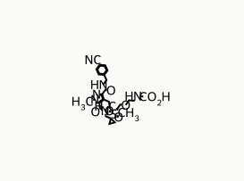 Cn1nc(C(=O)NCc2ccc(C#N)cc2)c2c1C(=O)N(CC1(S(=O)(=O)C(C)(C)COCCNC(=O)O)CC1)CC2